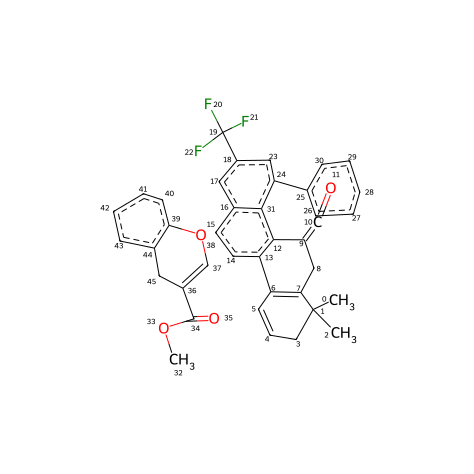 CC1(C)CC=CC2=C1CC(=C=O)c1c2ccc2cc(C(F)(F)F)cc(-c3ccccc3)c12.COC(=O)C1=COc2ccccc2C1